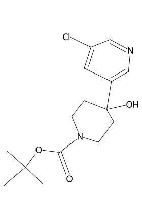 CC(C)(C)OC(=O)N1CCC(O)(c2cncc(Cl)c2)CC1